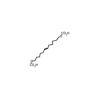 O=C(O)OCCCCCC=CCCCCCOC(=O)O